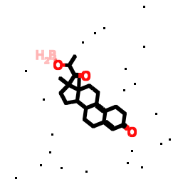 BOC(C)C(=O)C1(C)CCC2C3CCC4=CC(=O)CCC4=C3CCC21C